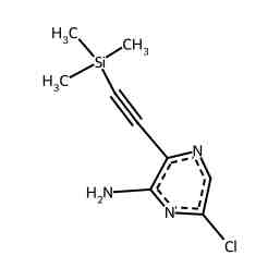 C[Si](C)(C)C#Cc1ncc(Cl)nc1N